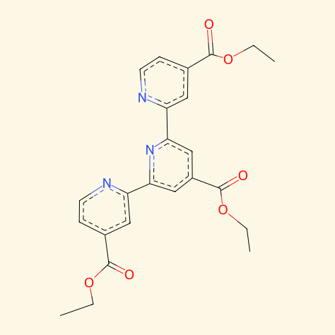 CCOC(=O)c1ccnc(-c2cc(C(=O)OCC)cc(-c3cc(C(=O)OCC)ccn3)n2)c1